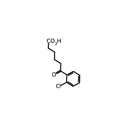 O=C(O)CCCCC(=O)c1ccccc1Cl